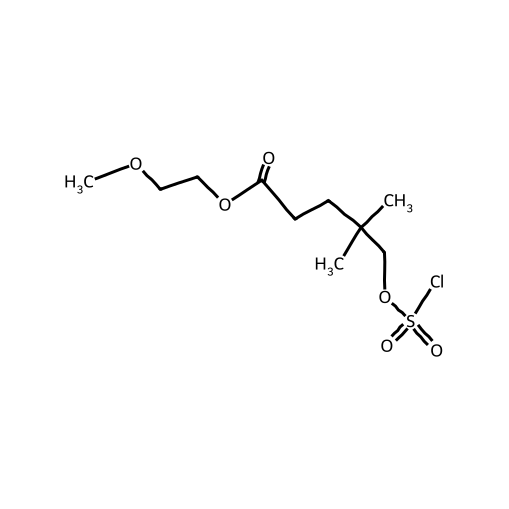 COCCOC(=O)CCC(C)(C)COS(=O)(=O)Cl